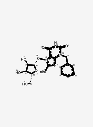 CCCCc1nc2c(c(=O)[nH]c(=O)n2Cc2ccccc2)n1O[C@@H]1O[C@H](CO)[C@@H](O)[C@H]1O